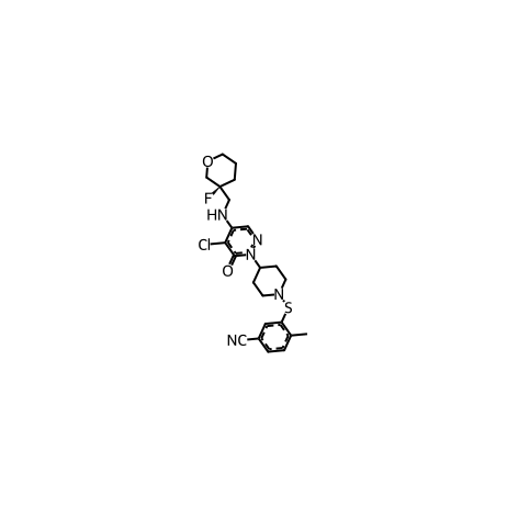 Cc1ccc(C#N)cc1SN1CCC(n2ncc(NC[C@@]3(F)CCCOC3)c(Cl)c2=O)CC1